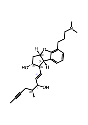 CC#CC[C@H](C)[C@H](O)/C=C/[C@@H]1[C@H]2c3cccc(CCCN(C)C)c3O[C@H]2C[C@H]1O